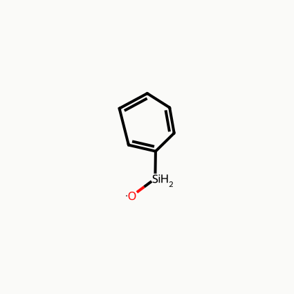 [O][SiH2]c1ccccc1